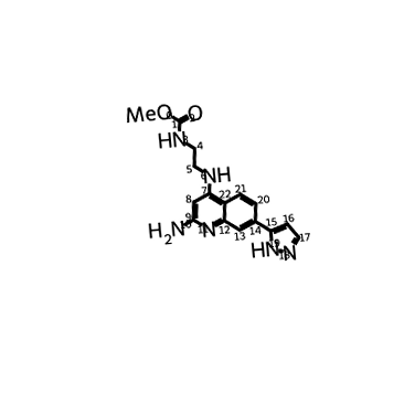 COC(=O)NCCNc1cc(N)nc2cc(-c3ccn[nH]3)ccc12